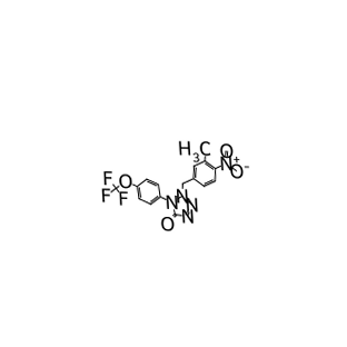 Cc1cc(Cn2nnc(=O)n2-c2ccc(OC(F)(F)F)cc2)ccc1[N+](=O)[O-]